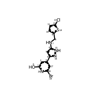 Oc1cc(-c2cc(NCc3ccc(Cl)s3)[nH]n2)cc(Br)n1